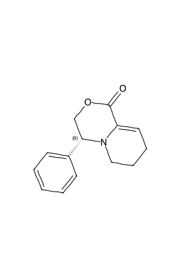 O=C1OC[C@@H](c2ccccc2)N2CCCC=C12